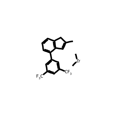 CC1=Cc2c(cccc2-c2cc(C(F)(F)F)cc(C(F)(F)F)c2)C1.[CH3][Zr][CH3]